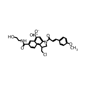 COc1ccc(C=CC(=O)N2CC(CCl)c3c2cc([N+](=O)[O-])c2cc(C(=O)NCCO)ccc32)cc1